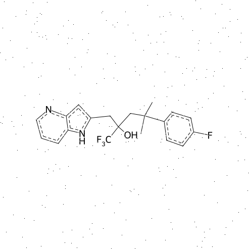 CC(C)(CC(O)(Cc1cc2ncccc2[nH]1)C(F)(F)F)c1ccc(F)cc1